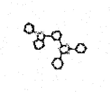 c1ccc(-c2nc(-c3ccccc3)nc(-c3cccc(-c4nn(-c5ccccc5)c5ccccc45)c3)n2)cc1